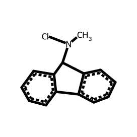 CN(Cl)C1c2ccccc2-c2ccccc21